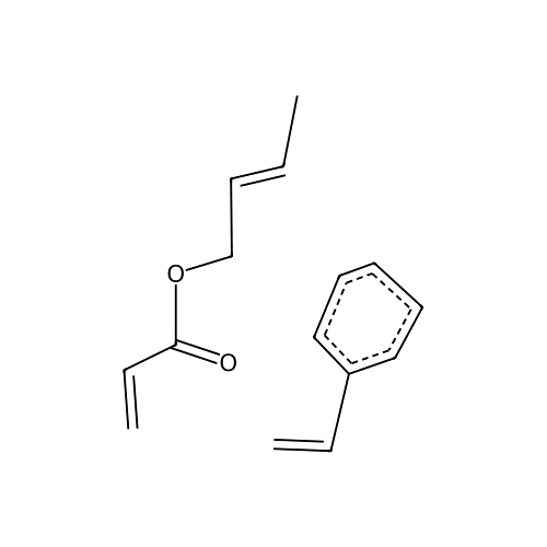 C=CC(=O)OCC=CC.C=Cc1ccccc1